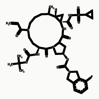 C=CC(=O)N1CCCC(C)[C@@H]2C[C@@]2(C(=O)NS(=O)(=O)C2CC2)NC(=O)C2C[C@@H](OC(=O)N3Cc4cccc(F)c4C3)CN2C(=O)[C@@H](NC(=O)OC(C)(C)C)CC1